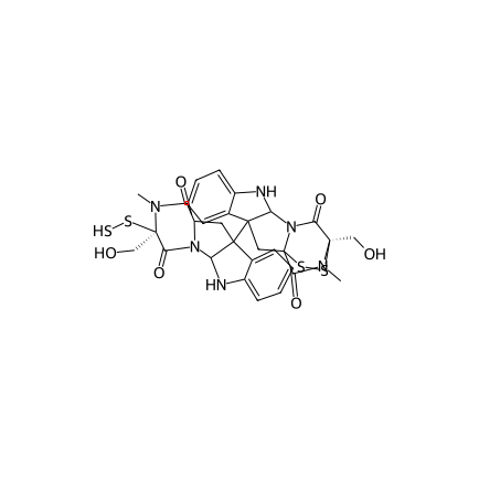 CN1C(=O)C2CC3(C45CC67SS[C@](CO)(C(=O)N6C4Nc4ccccc45)N(C)C7=O)c4ccccc4NC3N2C(=O)[C@@]1(CO)SS